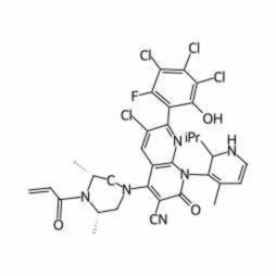 C=CC(=O)N1[C@H](C)CN(c2c(C#N)c(=O)n(C3=C(C)C=CNC3C(C)C)c3nc(-c4c(O)c(Cl)c(Cl)c(Cl)c4F)c(Cl)cc23)C[C@@H]1C